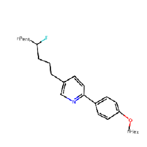 CCCCCCOc1ccc(-c2ccc(CCCC(F)CCCCC)cn2)cc1